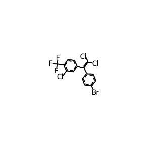 FC(F)(F)c1ccc(C(=C(Cl)Cl)c2ccc(Br)cc2)cc1Cl